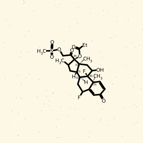 CCC(=O)O[C@]1(C(=O)COS(C)(=O)=O)C(C)C[C@H]2[C@@H]3CC(F)C4=CC(=O)C=C[C@]4(C)[C@@]3(F)C(O)C[C@@]21C